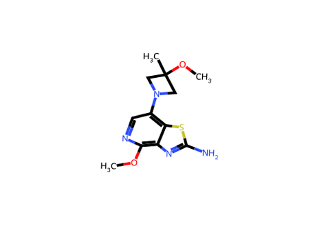 COc1ncc(N2CC(C)(OC)C2)c2sc(N)nc12